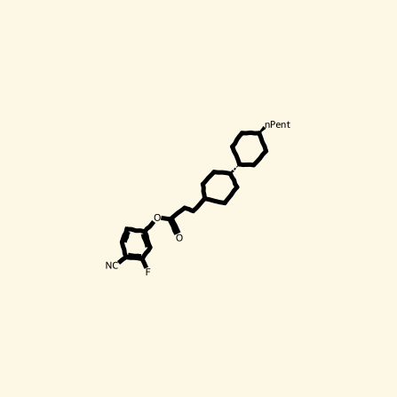 CCCCC[C@H]1CC[C@H](C2CCC(CCC(=O)Oc3ccc(C#N)c(F)c3)CC2)CC1